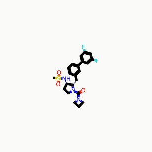 CS(=O)(=O)N[C@H]1CCN(C(=O)N2CCC2)[C@H]1Cc1cccc(-c2cc(F)cc(F)c2)c1